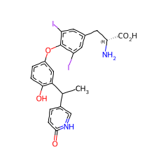 CC(c1ccc(=O)[nH]c1)c1cc(Oc2c(I)cc(C[C@@H](N)C(=O)O)cc2I)ccc1O